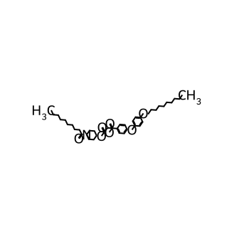 CCCCCCCCCCOc1ccc(Oc2ccc(C(=O)OC(=O)OC3CCN(C(=O)CCCCCCCCC)CC3)cc2)cc1